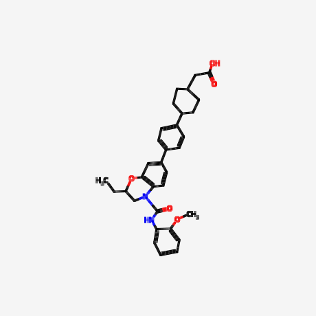 CCC1CN(C(=O)Nc2ccccc2OC)c2ccc(-c3ccc(C4CCC(CC(=O)O)CC4)cc3)cc2O1